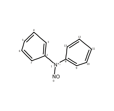 O=N[N+](c1ccccc1)c1ccccc1